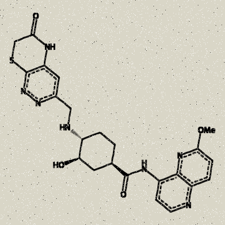 COc1ccc2nccc(NC(=O)[C@@H]3CC[C@@H](NCc4cc5c(nn4)SCC(=O)N5)[C@H](O)C3)c2n1